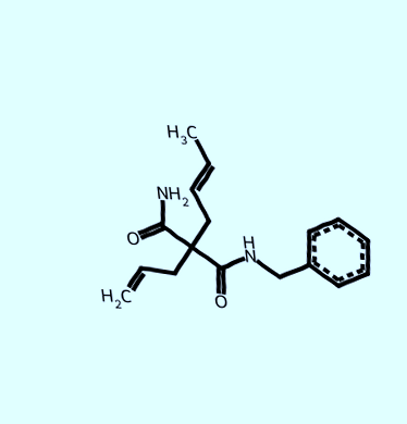 C=CCC(CC=CC)(C(N)=O)C(=O)NCc1ccccc1